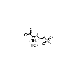 CS(=O)(=O)C=CC[C@H](N)C(=O)O.Cl